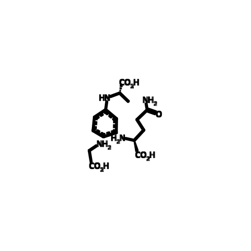 C[C@H](Nc1ccccc1)C(=O)O.NC(=O)CC[C@H](N)C(=O)O.NCC(=O)O